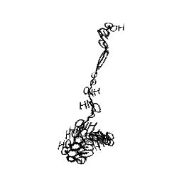 COc1cccc2c1C(=O)c1c(O)c3c(c(O)c1C2=O)C[C@@](O)(C(=O)NNC(=O)CCSCC(=O)NCCNC(=O)CCOCCOCCOCCOCCN1CCC(C(=O)O)CC1)C[C@@H]3O[C@H]1C[C@H]2[C@H](O[C@@H]3[C@@H](OC)OCCN32)[C@H](C)O1